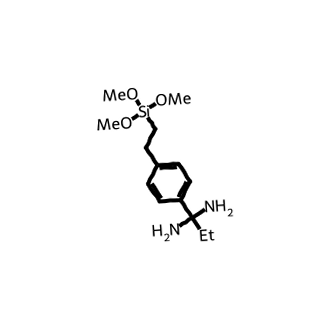 CCC(N)(N)c1ccc(CC[Si](OC)(OC)OC)cc1